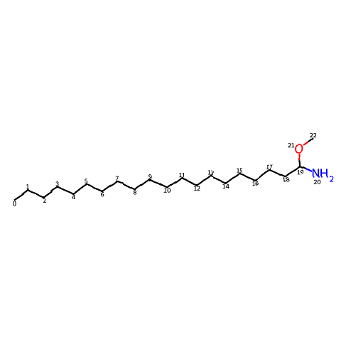 CCCCCCCCCCCCCCCCCCCC(N)OC